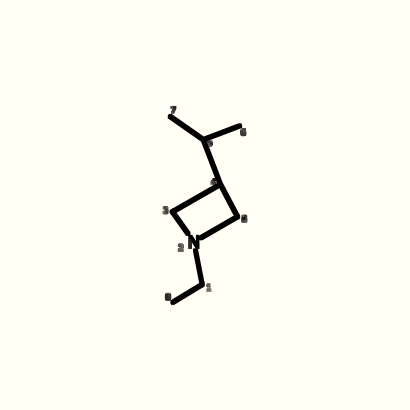 CCN1CC(C(C)C)C1